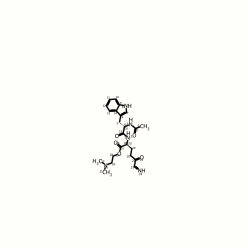 CC(=O)N[C@@H](Cc1c[nH]c2ccccc12)C(=O)N[C@@H](CCC(=O)C=N)C(=O)OCCN(C)C